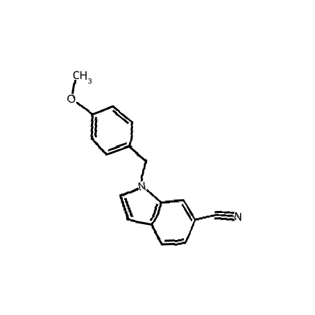 COc1ccc(Cn2ccc3ccc(C#N)cc32)cc1